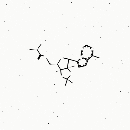 C[C@@H](C(=O)OC[C@H]1O[C@@](C#N)(c2ccc3c(N)ncnn23)[C@@H]2OC(C)(C)O[C@@H]21)C(C)(C)C